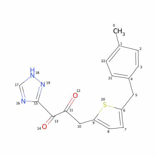 Cc1ccc(Cc2ccc(CC(=O)C(=O)c3nc[nH]n3)s2)cc1